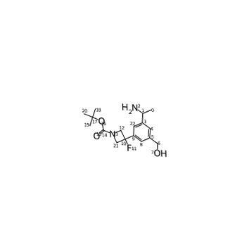 CC(N)c1cc(CO)cc(C2(F)CN(C(=O)OC(C)(C)C)C2)c1